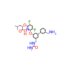 CNC(=O)NCc1cc(Oc2nc(O[C@H](CC(C)C)C(=O)O)c(F)cc2F)cc(-c2cccc(CN)c2)c1